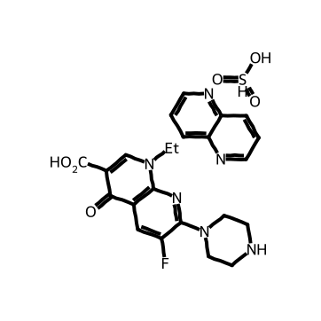 CCn1cc(C(=O)O)c(=O)c2cc(F)c(N3CCNCC3)nc21.O=[SH](=O)O.c1cnc2cccnc2c1